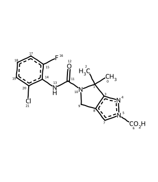 CC1(C)c2nn(C(=O)O)cc2CN1C(=O)Nc1c(F)cccc1Cl